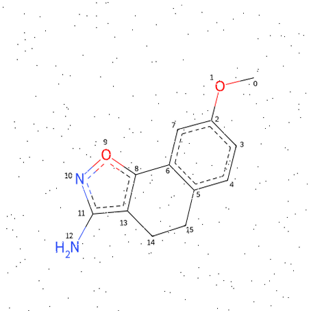 COc1ccc2c(c1)-c1onc(N)c1CC2